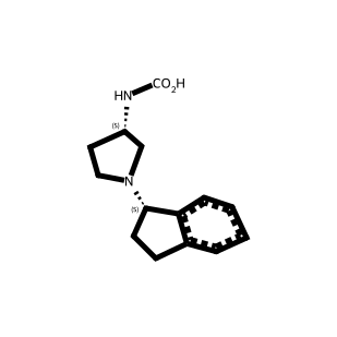 O=C(O)N[C@H]1CCN([C@H]2CCc3ccccc32)C1